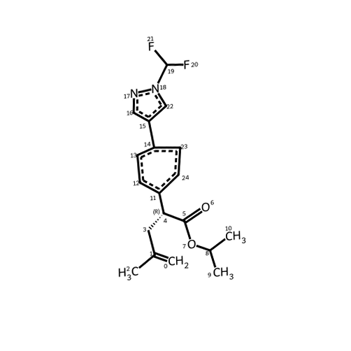 C=C(C)C[C@@H](C(=O)OC(C)C)c1ccc(-c2cnn(C(F)F)c2)cc1